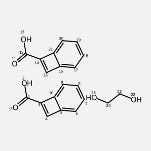 O=C(O)C1=Cc2ccccc21.O=C(O)C1=Cc2ccccc21.OCCO